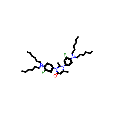 CCCCCCN(CCCCCC)c1ccc(N2C(=O)C=C(C)N(c3ccc(N(CCCCCC)CCCCCC)c(F)c3)C2C)cc1F